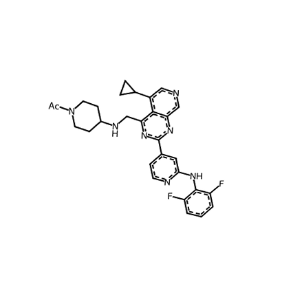 CC(=O)N1CCC(NCc2nc(-c3ccnc(Nc4c(F)cccc4F)c3)nc3cncc(C4CC4)c23)CC1